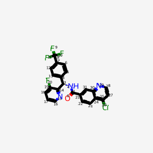 O=C(N[C@@H](c1ccc(C(F)(F)F)cc1)c1ncccc1F)c1ccc2c(Cl)ccnc2c1